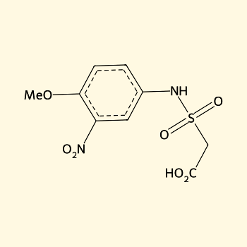 COc1ccc(NS(=O)(=O)CC(=O)O)cc1[N+](=O)[O-]